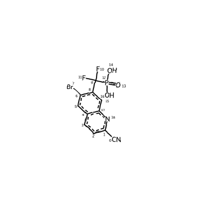 N#Cc1ccc2cc(Br)c(C(F)(F)P(=O)(O)O)cc2n1